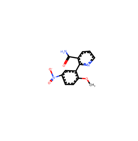 COc1ccc([N+](=O)[O-])cc1-c1ncccc1C(N)=O